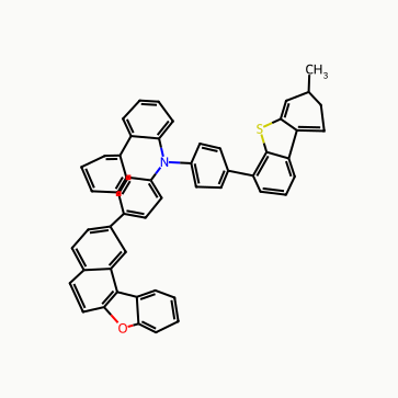 CC1C=c2sc3c(-c4ccc(N(c5ccc(-c6ccc7ccc8oc9ccccc9c8c7c6)cc5)c5ccccc5-c5ccccc5)cc4)cccc3c2=CC1